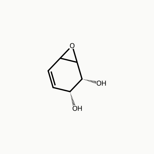 O[C@@H]1C=CC2OC2[C@@H]1O